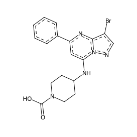 O=C(O)N1CCC(Nc2cc(-c3ccccc3)nc3c(Br)cnn23)CC1